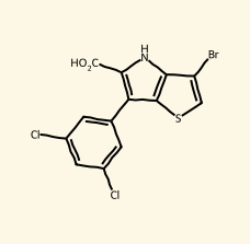 O=C(O)c1[nH]c2c(Br)csc2c1-c1cc(Cl)cc(Cl)c1